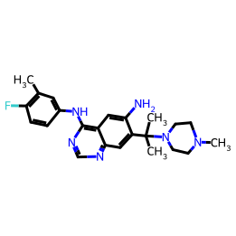 Cc1cc(Nc2ncnc3cc(C(C)(C)N4CCN(C)CC4)c(N)cc23)ccc1F